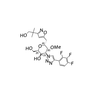 CO[C@@H]1[C@@H](n2cc(-c3ccc(F)c(F)c3F)nn2)[C@@H](O)[C@@H](CO)O[C@@H]1Cc1cc(C(C)(C)CO)no1